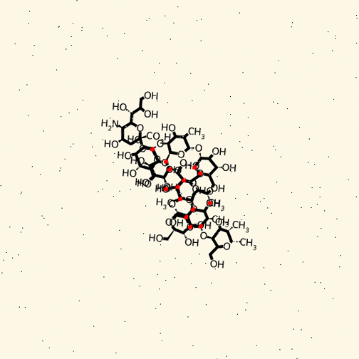 CC1C(O)[C@H](O[C@@H]2OC(CO)[C@H](O)C(O)[C@@H]2O)[C@H](CO)O[C@H]1O[C@@H]1C(O)[C@H](O)C(CO)O[C@@H]1OCC(O[C@@H](O[C@@H]1C(CO)O[C@@H](O[C@@H]2C(CO)O[C@@H](C)[C@@H](C)C2O)[C@@H](C)C1O)[C@@H](C)O)[C@@H](O)CO[C@H]1O[C@H](CO)[C@@H](O)C(O)C1O[C@@H]1OC(CO)[C@@H](O[C@@H]2OC(CO[C@]3(C(=O)O)C[C@@H](O)[C@@H](N)C([C@H](O)C(O)CO)O3)[C@H](O)C(O)[C@@H]2O)C(O)[C@@H]1C